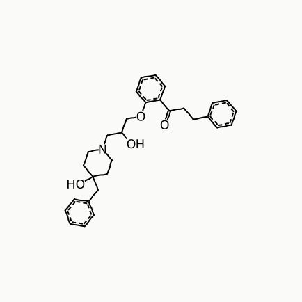 O=C(CCc1ccccc1)c1ccccc1OCC(O)CN1CCC(O)(Cc2ccccc2)CC1